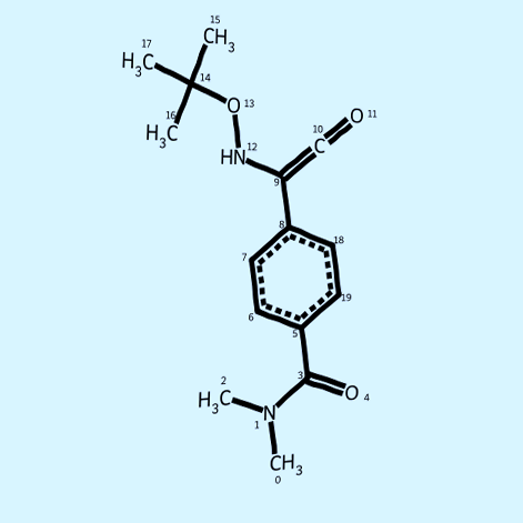 CN(C)C(=O)c1ccc(C(=C=O)NOC(C)(C)C)cc1